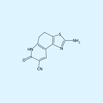 N#Cc1cc2c([nH]c1=O)CCc1sc(N)nc1-2